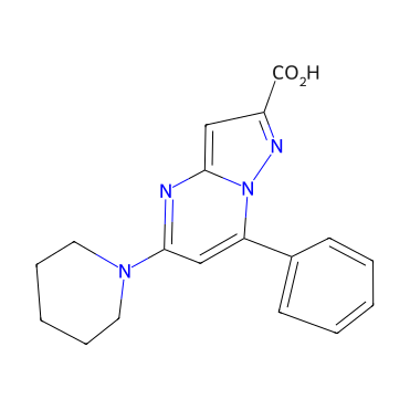 O=C(O)c1cc2nc(N3CCCCC3)cc(-c3ccccc3)n2n1